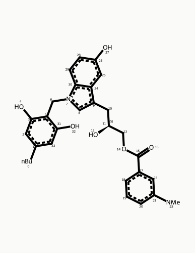 CCCCc1cc(O)c(Cn2cc(C[C@H](O)COC(=O)c3cccc(NC)c3)c3cc(O)ccc32)c(O)c1